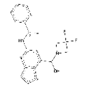 C[C@H](Nc1nc(C(O)N2CC(F)(F)C2)c2sccc2n1)c1ccccn1